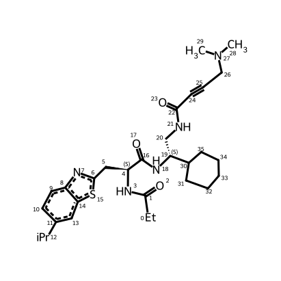 CCC(=O)N[C@@H](Cc1nc2ccc(C(C)C)cc2s1)C(=O)N[C@H](CNC(=O)C#CCN(C)C)C1CCCCC1